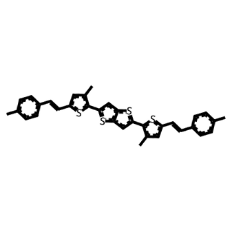 Cc1ccc(C=Cc2cc(C)c(-c3cc4sc(-c5sc(C=Cc6ccc(C)cc6)cc5C)cc4s3)s2)cc1